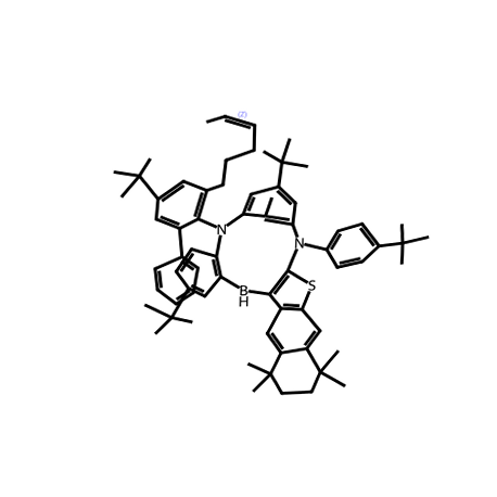 C/C=C\CCCc1cc(C(C)(C)C)cc(-c2ccccc2)c1N1c2ccc(C(C)(C)C)cc2Bc2c(sc3cc4c(cc23)C(C)(C)CCC4(C)C)N(c2ccc(C(C)(C)C)cc2)c2cc(C(C)(C)C)cc1c2C